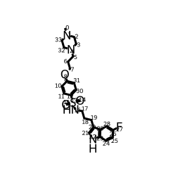 CN1CCN(CCCOc2ccc(S(=O)(=O)NCCCc3c[nH]c4ccc(F)cc34)cc2)CC1